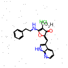 Cl.O=C(O)C1=C(NCCc2ccccc2)O/C(=C\c2c[nH]c3ncccc23)C1=O